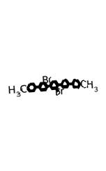 CC1CCC(c2ccc(-c3cc(Br)c(-c4ccc(C5CCC(C)CC5)cc4)cc3Br)cc2)CC1